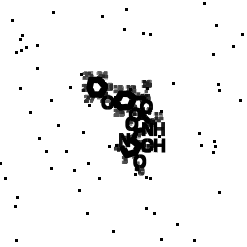 COc1ccnc(C(=O)N[C@@H](C)C(=O)O[C@@H](C)c2ccc(Oc3ccccc3)cc2)c1O